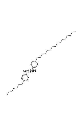 CCCCCCCCCCCCCCCCc1ccc(NNc2ccc(CCCCCCC)cc2)cc1